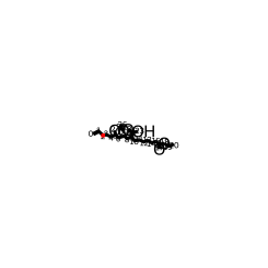 C=CCCCC(CCCC(CCCCCCC(=O)OCC)C(=O)O)OC(C)=O